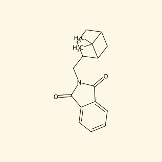 CC1(C)C2CCC(CN3C(=O)c4ccccc4C3=O)C1C2